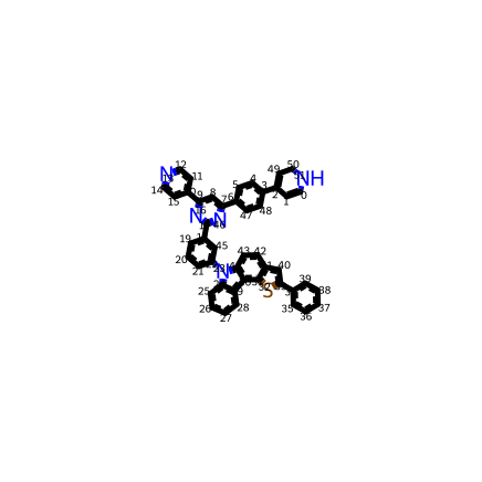 C1=CC(c2ccc(-c3cc(-c4ccncc4)nc(-c4cccc(-n5c6ccccc6c6c7sc(-c8ccccc8)cc7ccc65)c4)n3)cc2)=CCN1